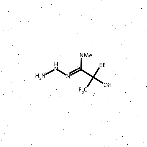 CCC(O)(/C(=N/NN)NC)C(F)(F)F